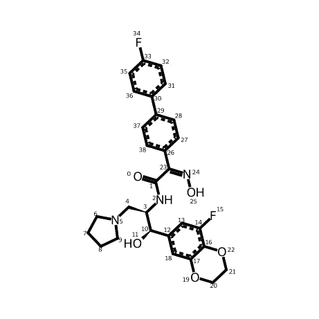 O=C(N[C@H](CN1CCCC1)[C@H](O)c1cc(F)c2c(c1)OCCO2)C(=NO)c1ccc(-c2ccc(F)cc2)cc1